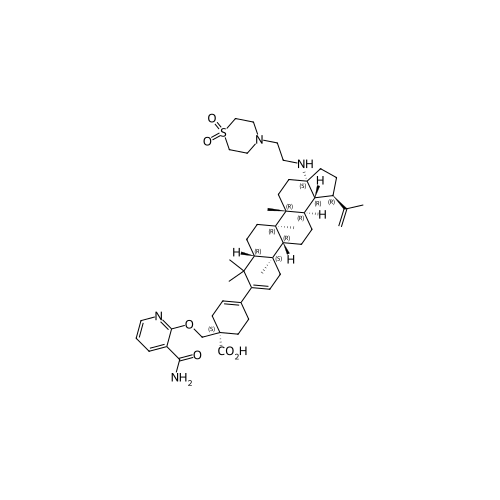 C=C(C)[C@@H]1CC[C@]2(NCCN3CCS(=O)(=O)CC3)CC[C@]3(C)[C@H](CC[C@@H]4[C@@]5(C)CC=C(C6=CC[C@@](COc7ncccc7C(N)=O)(C(=O)O)CC6)C(C)(C)[C@@H]5CC[C@]43C)[C@@H]12